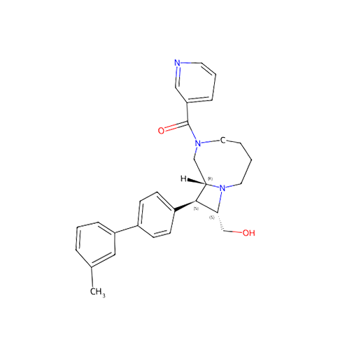 Cc1cccc(-c2ccc([C@@H]3[C@@H](CO)N4CCCCN(C(=O)c5cccnc5)C[C@@H]34)cc2)c1